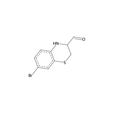 O=CC1CSc2cc(Br)ccc2N1